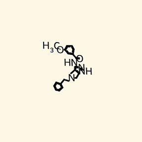 COc1cccc(C(=O)Nc2n[nH]c3c2CN(CCc2ccccc2)C3)c1